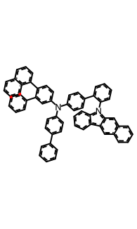 c1ccc(-c2ccc(N(c3ccc(-c4ccccc4-n4c5ccccc5c5cc6ccccc6cc54)cc3)c3ccc(-c4cccc5ccccc45)c(-c4ccccc4)c3)cc2)cc1